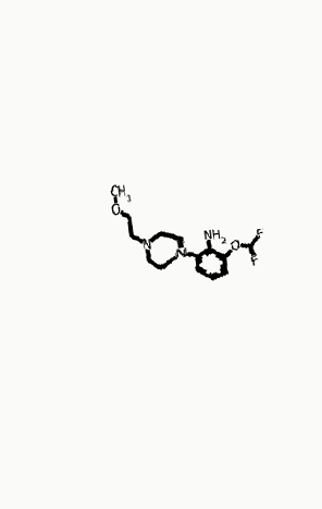 COCCN1CCN(c2cccc(OC(F)F)c2N)CC1